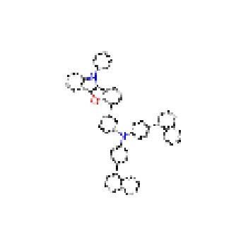 c1ccc(-n2c3ccccc3c3oc4c(-c5cccc(N(c6ccc(-c7cccc8ccccc78)cc6)c6ccc(-c7cccc8ccccc78)cc6)c5)cccc4c32)cc1